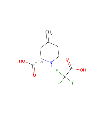 C=C1CCN[C@H](C(=O)O)C1.O=C(O)C(F)(F)F